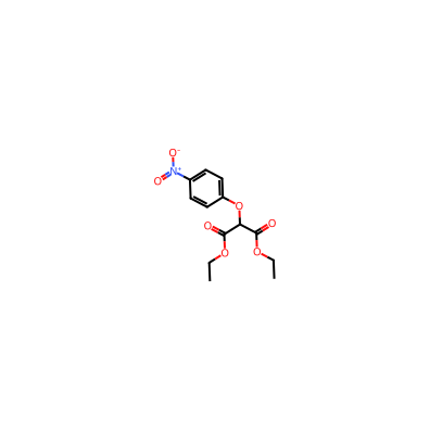 CCOC(=O)C(Oc1ccc([N+](=O)[O-])cc1)C(=O)OCC